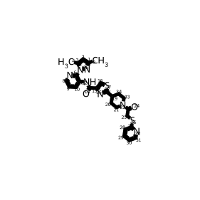 Cc1cc(C)n(-c2ncccc2NC(=O)c2csc(C3CCN(C(=O)CSc4ccccn4)CC3)n2)n1